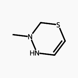 CN1CSC=CN1